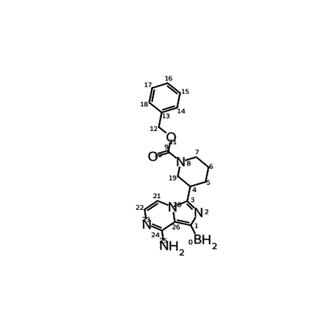 Bc1nc(C2CCCN(C(=O)OCc3ccccc3)C2)n2ccnc(N)c12